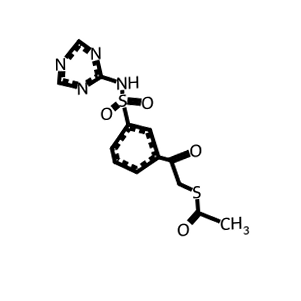 CC(=O)SCC(=O)c1cccc(S(=O)(=O)Nc2ncncn2)c1